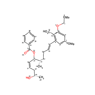 COCOc1cc(OC)cc(/C=C/CC[C@H](C)C(/C=C\C[C@H](C)O)OC(=O)c2ccccc2)c1C(=O)O